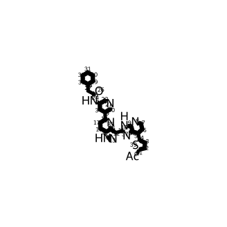 CC(=O)c1ccc(-c2ccnc3[nH]c(-c4n[nH]c5ccc(-c6cncc(NC(=O)Cc7ccccc7)c6)nc45)nc23)s1